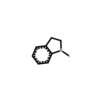 IN1CCc2ccccc21